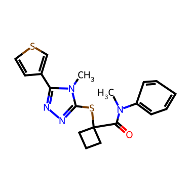 CN(C(=O)C1(Sc2nnc(-c3ccsc3)n2C)CCC1)c1ccccc1